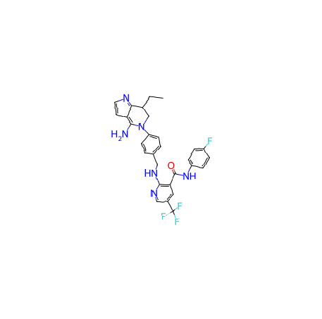 CCC1CN(c2ccc(CNc3ncc(C(F)(F)F)cc3C(=O)Nc3ccc(F)cc3)cc2)C(N)=C2C=CN=C21